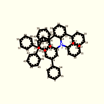 c1ccc(-c2cc(N(c3ccccc3)c3c(-c4ccccc4)cccc3-c3ccccc3)cc(C(c3ccccc3)(c3ccccc3)c3ccccc3)c2)cc1